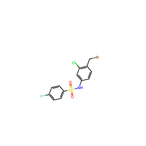 O=S(=O)(Nc1ccc(CBr)c(Cl)c1)c1ccc(F)cc1